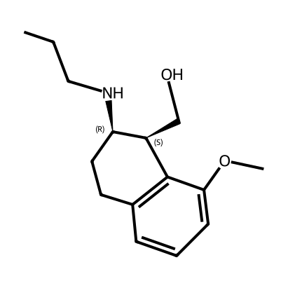 CCCN[C@@H]1CCc2cccc(OC)c2[C@@H]1CO